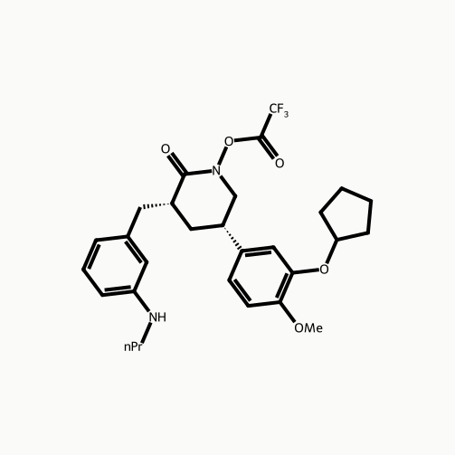 CCCNc1cccc(C[C@H]2C[C@@H](c3ccc(OC)c(OC4CCCC4)c3)CN(OC(=O)C(F)(F)F)C2=O)c1